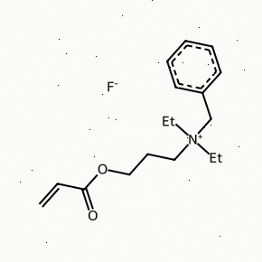 C=CC(=O)OCCC[N+](CC)(CC)Cc1ccccc1.[F-]